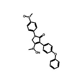 CN(O)C1=C(c2ccc(Oc3ccccc3)cc2)C(=O)N(c2ccc([S+](C)[O-])cc2)C1